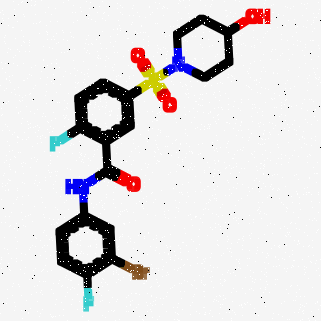 O=C(Nc1ccc(F)c(Br)c1)c1cc(S(=O)(=O)N2CCC(O)CC2)ccc1F